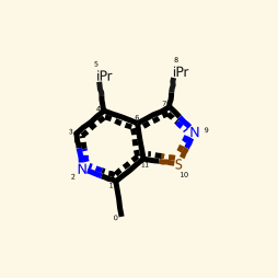 Cc1ncc(C(C)C)c2c(C(C)C)nsc12